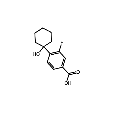 O=C(O)c1ccc(C2(O)CCCCC2)c(F)c1